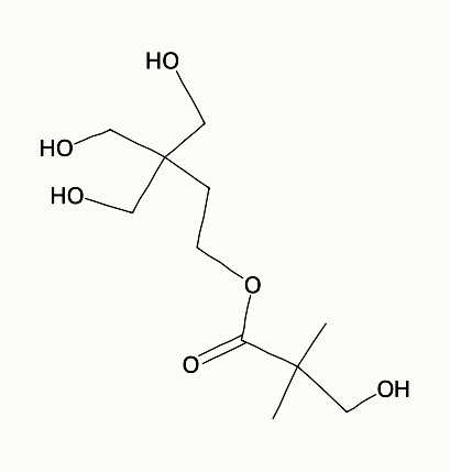 CC(C)(CO)C(=O)OCCC(CO)(CO)CO